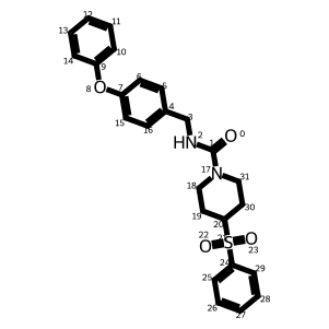 O=C(NCc1ccc(Oc2ccccc2)cc1)N1CCC(S(=O)(=O)c2ccccc2)CC1